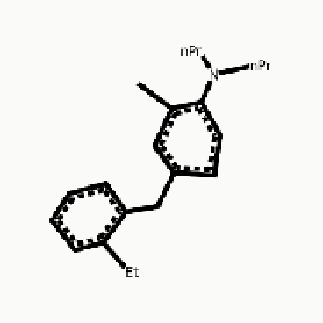 CCCN(CCC)c1ccc(Cc2ccccc2CC)cc1C